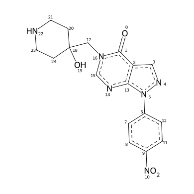 O=c1c2cnn(-c3ccc([N+](=O)[O-])cc3)c2ncn1CC1(O)CCNCC1